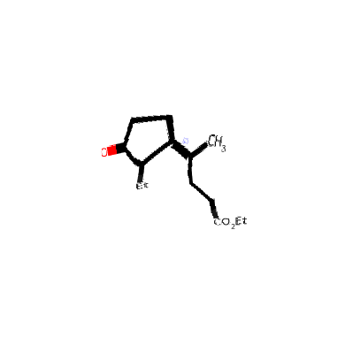 CCOC(=O)CC/C(C)=C1/CCC(=O)C1CC